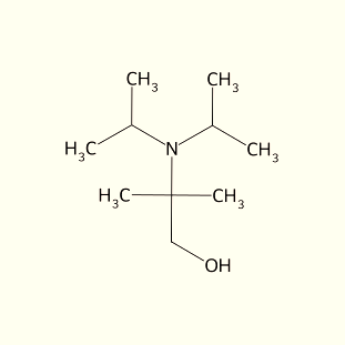 CC(C)N(C(C)C)C(C)(C)CO